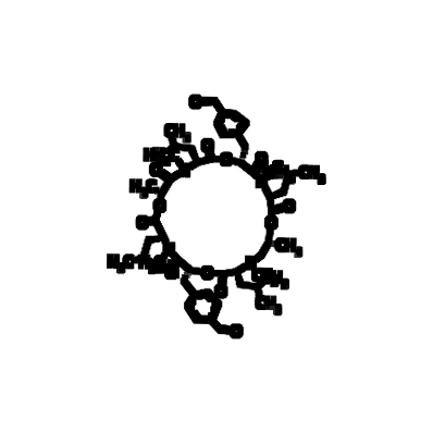 CC(C)C[C@H]1C(=O)O[C@H](Cc2ccc(C=O)cc2)C(=O)N(C)[C@@H](CC(C)C)C(=O)O[C@H](C)C(=O)N(C)[C@@H](CC(C)C)C(=O)O[C@H](Cc2ccc(C=O)cc2)C(=O)N(C)[C@@H](CC(C)C)C(=O)O[C@H](C)CN1C